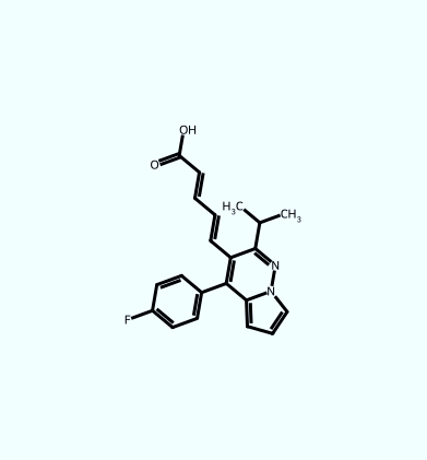 CC(C)c1nn2cccc2c(-c2ccc(F)cc2)c1C=CC=CC(=O)O